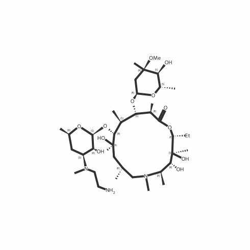 CC[C@H]1OC(=O)[C@H](C)[C@@H](O[C@H]2C[C@@](C)(OC)[C@@H](O)[C@H](C)O2)[C@H](C)[C@@H](O[C@@H]2O[C@H](C)C[C@H](N(C)CCN)[C@H]2O)[C@](C)(O)C[C@@H](C)CN(C)[C@H](C)[C@@H](O)[C@]1(C)O